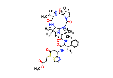 COC(=O)CCSC(=O)C[C@@H](NC(=O)C(NC(=O)C(/N=C1\NCC(=O)N2CC[C@@H](C)[C@H]2C(=O)N[C@@H](C(C)C)C(=O)NC1C(C)(C)C)C(C)(C)C)[C@@H](C)c1ccccc1)c1nccs1